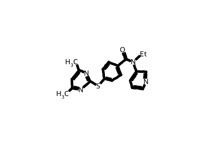 CCN(C(=O)c1ccc(Sc2nc(C)cc(C)n2)cc1)c1cccnc1